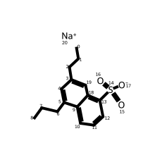 CCCc1cc(CCC)c2cccc(S(=O)(=O)[O-])c2c1.[Na+]